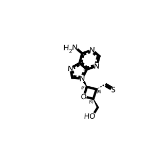 Nc1ncnc2c1ncn2[C@@H]1O[C@H](CO)[C@H]1C=S